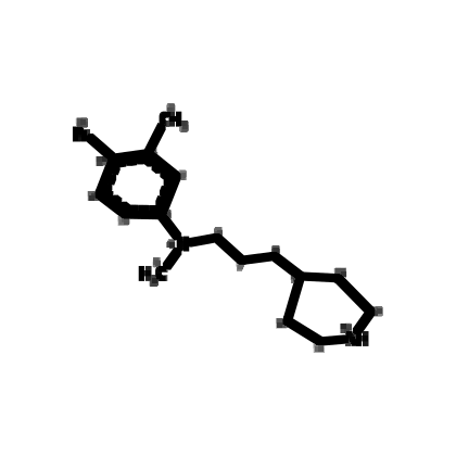 Cc1cc(N(C)CCCC2CCNCC2)ccc1Br